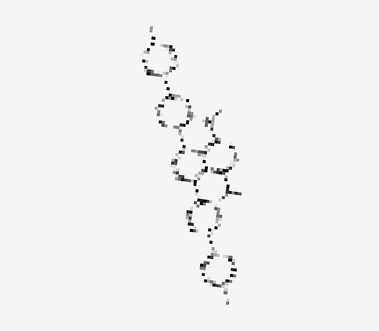 Cc1ccc(-c2ccc3c(c2)N(C)c2ccc4c5c(ccc-3c25)-c2ccc(-c3ccc(C)cc3)cc2N4C)cc1